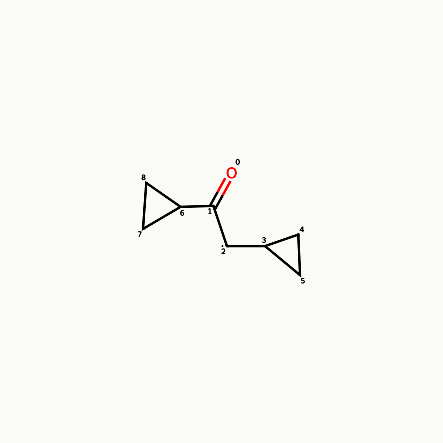 O=C([CH]C1CC1)C1CC1